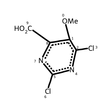 COc1c(Cl)nc(Cl)nc1C(=O)O